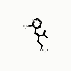 C=C(C)/C(=C\c1cccnc1N)CCC(=O)O